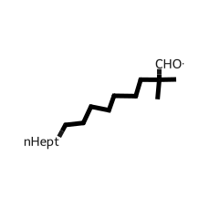 CCCCCCCCCCCCCCC(C)(C)[C]=O